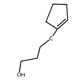 OCCCCC1=CCCC1